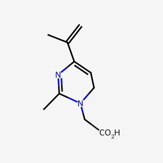 C=C(C)C1=CCN(CC(=O)O)C(C)=N1